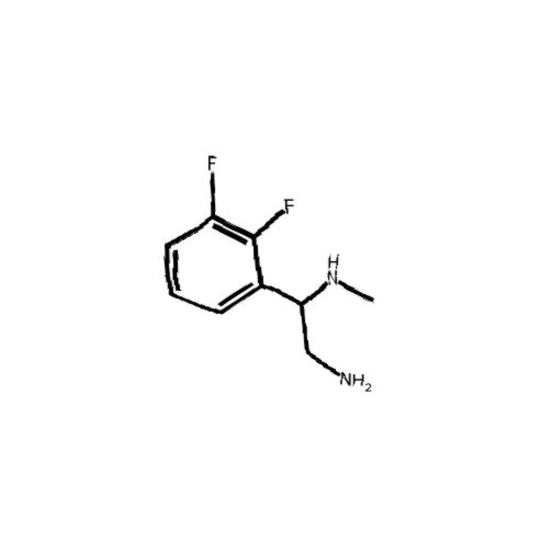 CNC(CN)c1cccc(F)c1F